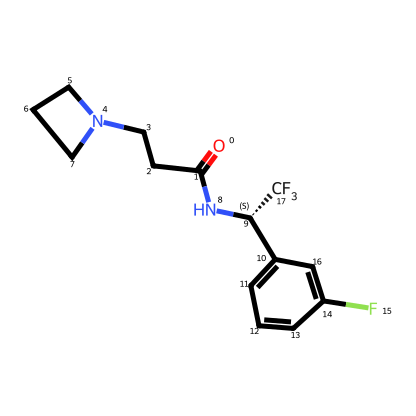 O=C(CCN1CCC1)N[C@@H](c1cccc(F)c1)C(F)(F)F